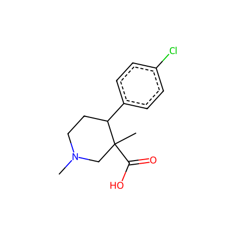 CN1CCC(c2ccc(Cl)cc2)C(C)(C(=O)O)C1